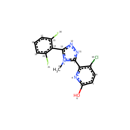 Cn1c(-c2nc(O)ccc2Cl)nnc1-c1c(F)cccc1F